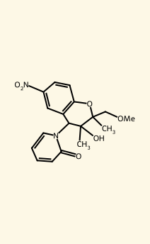 COCC1(C)Oc2ccc([N+](=O)[O-])cc2C(n2ccccc2=O)C1(C)O